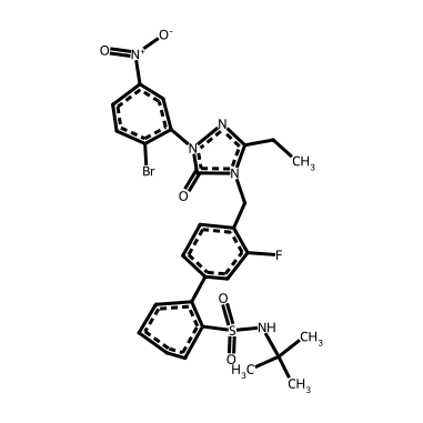 CCc1nn(-c2cc([N+](=O)[O-])ccc2Br)c(=O)n1Cc1ccc(-c2ccccc2S(=O)(=O)NC(C)(C)C)cc1F